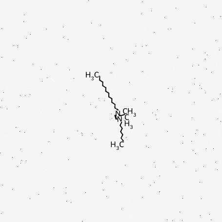 CCCCCCCCCCCCCCN1C=CN(CCCCCCCC)C1C(C)C